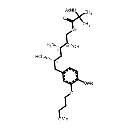 COCCCOc1cc(C[C@@H](C[C@H](N)[C@@H](O)CNC(=O)C(C)(C)NC(C)=O)C(C)C)ccc1OC.Cl